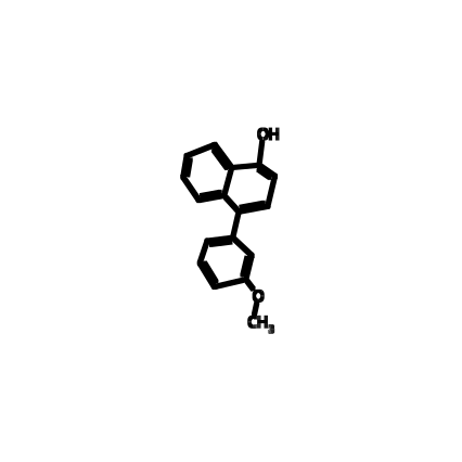 COc1cccc(-c2ccc(O)c3ccccc23)c1